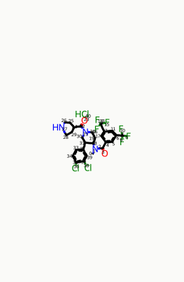 CN(C(=O)c1cc(C(F)(F)F)cc(C(F)(F)F)c1)C1CCN(C(=O)C2CCNCC2)CC1c1ccc(Cl)c(Cl)c1.Cl